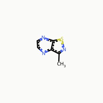 Cc1nsc2nccnc12